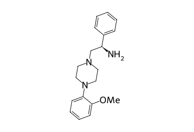 COc1ccccc1N1CCN(C[C@H](N)c2ccccc2)CC1